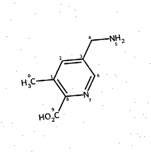 Cc1cc(CN)cnc1C(=O)O